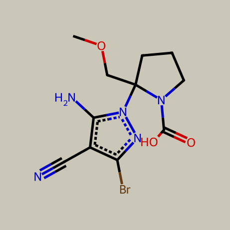 COCC1(n2nc(Br)c(C#N)c2N)CCCN1C(=O)O